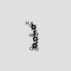 Cc1ccc(OCC(=O)NC2CCN(Cc3ccc(Cl)c(Cl)c3)CC2)cc1